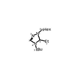 CCCCCCN1N=CN(C(C)(C)C)C1CC